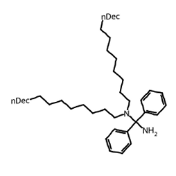 CCCCCCCCCCCCCCCCCCN(CCCCCCCCCCCCCCCCCC)C(N)(c1ccccc1)c1ccccc1